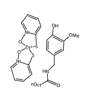 CCCCCCCCC(=O)NCc1ccc(O)c(OC)c1.c1cc[n+]2c(c1)[S][Zn-2]1([O]2)[O][n+]2ccccc2[S]1